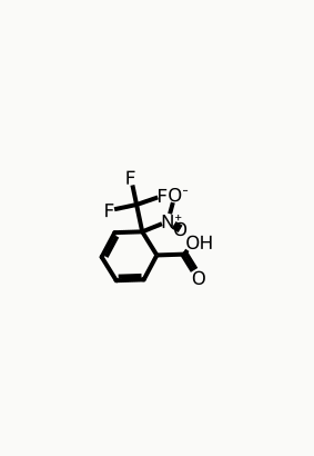 O=C(O)C1C=CC=CC1([N+](=O)[O-])C(F)(F)F